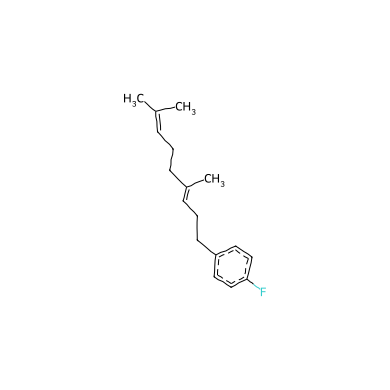 CC(C)=CCC/C(C)=C/CCc1ccc(F)cc1